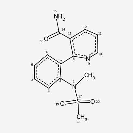 CN(c1ccccc1-c1ncccc1C(N)=O)S(C)(=O)=O